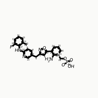 Nc1c(-c2cc(Cc3ccc(Nc4c(F)cccc4F)nc3)no2)ccc[n+]1COP(=O)([O-])O